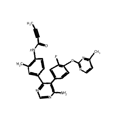 CC#CC(=O)Nc1ccc(-c2ncnc(N)c2-c2ccc(Oc3nccc(C)n3)c(F)c2)cc1C